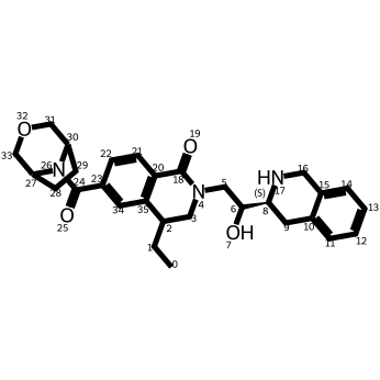 CCC1CN(CC(O)[C@@H]2Cc3ccccc3CN2)C(=O)c2ccc(C(=O)N3C4CCC3COC4)cc21